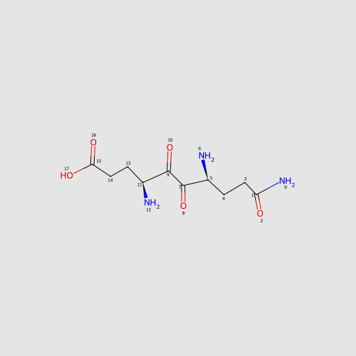 NC(=O)CC[C@H](N)C(=O)C(=O)[C@@H](N)CCC(=O)O